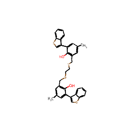 Cc1cc(CSCCSCc2cc(C)cc(-c3csc4ccccc34)c2O)c(O)c(-c2csc3ccccc23)c1